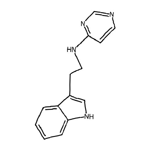 c1ccc2c(CCNc3ccncn3)c[nH]c2c1